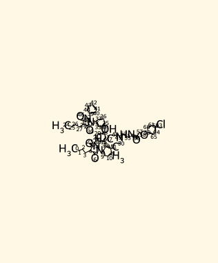 CCCCC1C(=O)N(c2ccccc2)N(c2ccc(O)cc2)C1=O.CCCCC1C(=O)N(c2ccccc2)N(c2ccccc2)C1=O.CCN(CC)CCNC(=O)COc1ccc(Cl)cc1